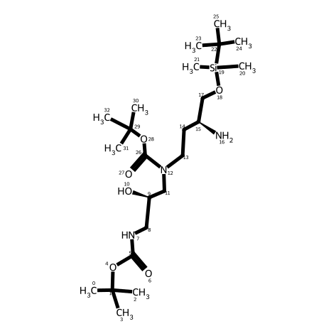 CC(C)(C)OC(=O)NC[C@@H](O)CN(CC[C@H](N)CO[Si](C)(C)C(C)(C)C)C(=O)OC(C)(C)C